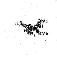 COc1ccc(Nc2ccc(OCCSc3ccc(Nc4ccc(C)cc4)cc3Nc3ccc(C)cc3)c(Nc3ccc(OC)cc3)c2)cc1